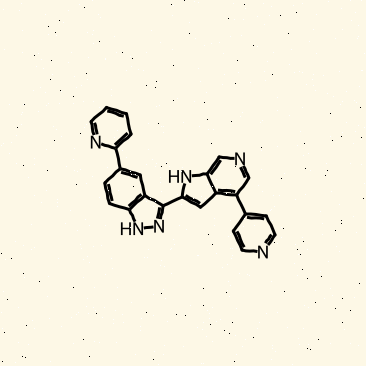 c1ccc(-c2ccc3[nH]nc(-c4cc5c(-c6ccncc6)cncc5[nH]4)c3c2)nc1